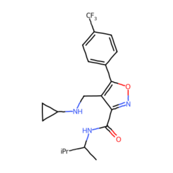 CC(C)C(C)NC(=O)c1noc(-c2ccc(C(F)(F)F)cc2)c1CNC1CC1